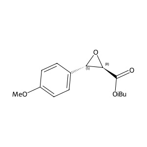 COc1ccc([C@@H]2O[C@H]2C(=O)OCC(C)C)cc1